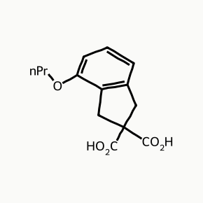 CCCOc1cccc2c1CC(C(=O)O)(C(=O)O)C2